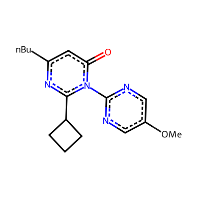 CCCCc1cc(=O)n(-c2ncc(OC)cn2)c(C2CCC2)n1